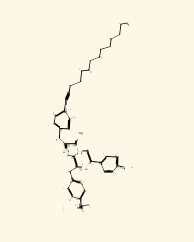 CCCCCCCCCCCCC#Cc1ccc(Cc2nc3c(Cc4ccc(C(C)(C)C)cc4)[nH]c(-c4ccc(O)cc4)cn-3c2=O)cc1